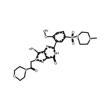 CCCOc1ccc(S(=O)(=O)N2CCN(C)CC2)cc1-c1nc2c(CCC)n(CC(=O)N3CCOCC3)nc2c(=O)[nH]1